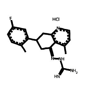 Cc1ccc(F)cc1C1C/C(=N/NC(=N)N)c2c(C)ccnc2C1.Cl